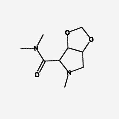 CN(C)C(=O)C1C2OCOC2CN1C